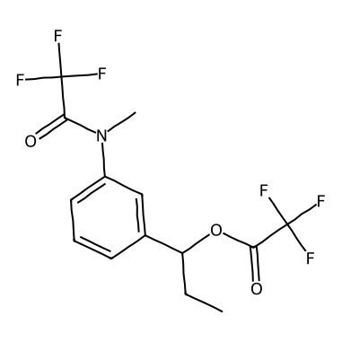 CCC(OC(=O)C(F)(F)F)c1cccc(N(C)C(=O)C(F)(F)F)c1